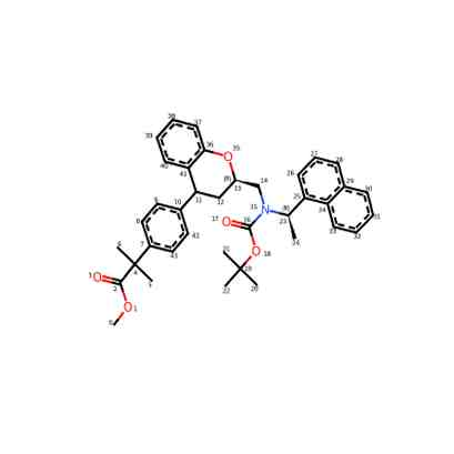 COC(=O)C(C)(C)c1ccc(C2C[C@H](CN(C(=O)OC(C)(C)C)[C@H](C)c3cccc4ccccc34)Oc3ccccc32)cc1